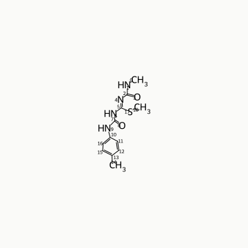 CNC(=O)N=C(NC(=O)Nc1ccc(C)cc1)SC